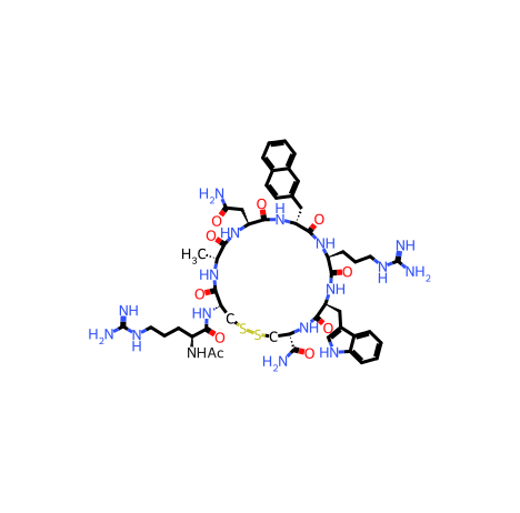 CC(=O)N[C@@H](CCCNC(=N)N)C(=O)N[C@H]1CSSC[C@@H](C(N)=O)NC(=O)[C@H](Cc2c[nH]c3ccccc23)NC(=O)[C@H](CCCNC(=N)N)NC(=O)[C@@H](Cc2ccc3ccccc3c2)NC(=O)[C@H](CC(N)=O)NC(=O)[C@@H](C)NC1=O